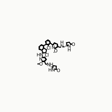 COc1nc(-c2cccc(-c3cccc4c3CC[C@@H]4Nc3nc(OC)c(CNC[C@@H]4CCC(=O)N4)cc3Cl)c2Cl)ccc1CNC[C@@H]1CCC(=O)N1